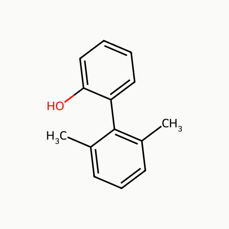 Cc1cccc(C)c1-c1ccccc1O